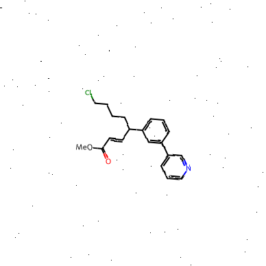 COC(=O)/C=C/C(CCCCCl)c1cccc(-c2cccnc2)c1